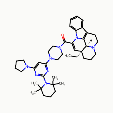 CC[C@@]12C=C(C(=O)N3CCN(c4cc(N5CCCC5)nc(N5C(C)(C)CCCC5(C)C)n4)CC3)n3c4c(c5ccccc53)CCN(CCC1)[C@H]42